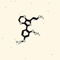 C/C=C/c1sc(-c2ccc(OC)cc2OC)c2c1OCCO2